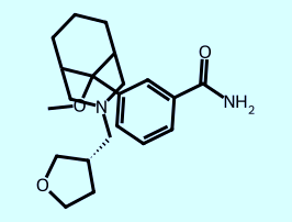 COC1(c2cccc(C(N)=O)c2)C2CCCC1CN(C[C@@H]1CCOC1)C2